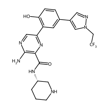 Nc1ncc(-c2cc(-c3cnn(CC(F)(F)F)c3)ccc2O)nc1C(=O)N[C@H]1CCCNC1